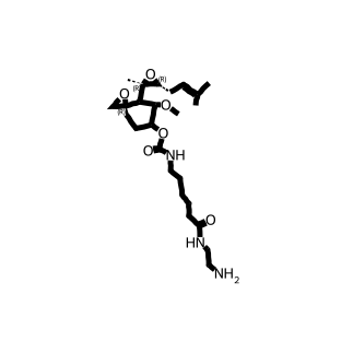 COC1C(OC(=O)NCCCCCC(=O)NCCN)CC[C@]2(CO2)C1[C@@]1(C)O[C@@H]1CC=C(C)C